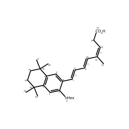 CCCCCCc1cc2c(cc1/C=C/C=C/C(C)=C\CC(=O)O)C(C)(C)CCC2(C)C